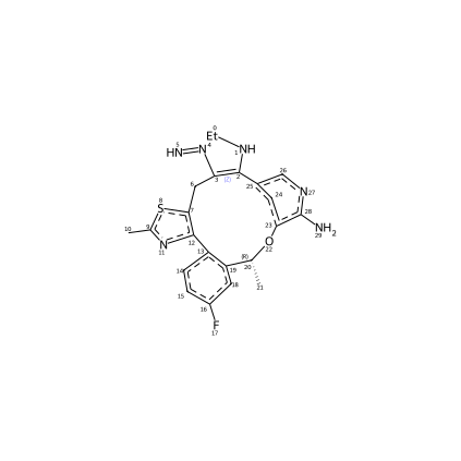 CCN/C1=C(\N=N)Cc2sc(C)nc2-c2ccc(F)cc2[C@@H](C)Oc2cc1cnc2N